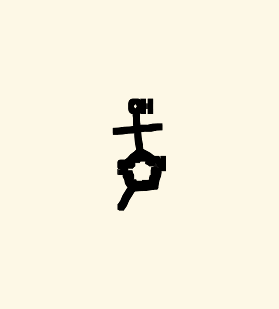 Cc1cnc(C(C)(C)O)s1